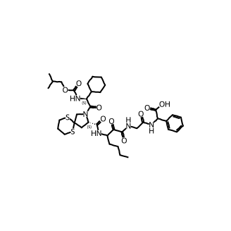 CCCCC(NC(=O)[C@@H]1CC2(CN1C(=O)[C@@H](NC(=O)OCC(C)C)C1CCCCC1)SCCCS2)C(=O)C(=O)NCC(=O)NC(C(=O)O)c1ccccc1